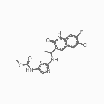 COC(=O)Nc1cnc(NC(C)c2cc3cc(Cl)c(F)cc3[nH]c2=O)s1